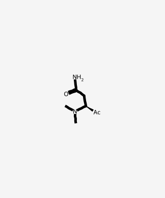 CC(=O)[C@H](CC(N)=O)N(C)C